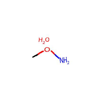 CON.O